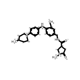 Cc1cc(CNC(=O)C2CC(=O)N(C)C2)ccc1Nc1ccc(N2CCC(C)CC2)cc1